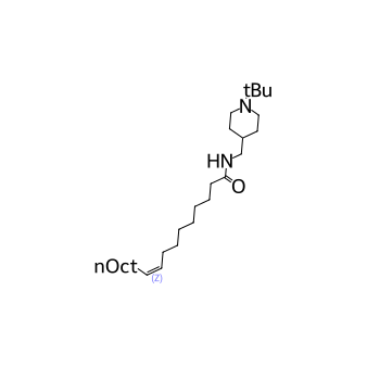 CCCCCCCC/C=C\CCCCCCCC(=O)NCC1CCN(C(C)(C)C)CC1